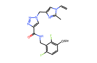 C=Cn1cc(Cn2cc(C(=O)NCc3c(F)ccc(OC)c3F)nn2)nc1C